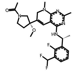 CO[C@]1(C2=Cc3c(N[C@H](C)c4cccc(C(F)F)c4F)nc(C)nc3N(C)C2)CCN(C(C)=O)C1